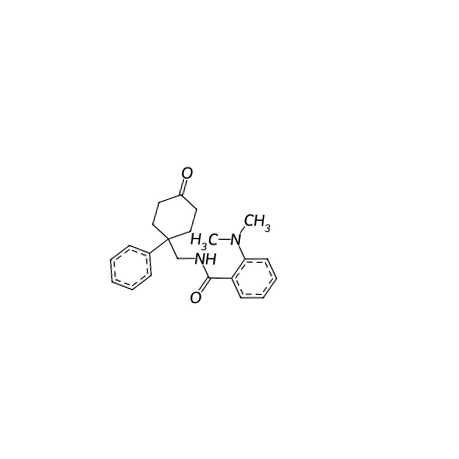 CN(C)c1ccccc1C(=O)NCC1(c2ccccc2)CCC(=O)CC1